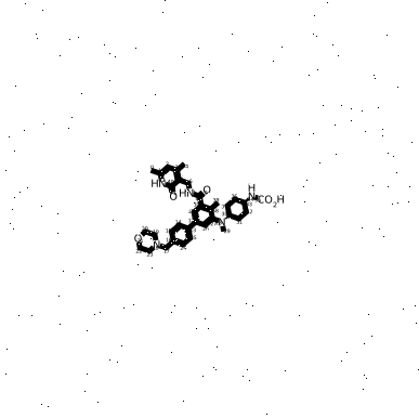 Cc1cc(C)c(CNC(=O)c2cc(-c3ccc(CN4CCOCC4)cc3)cc(N(C)[C@H]3CC[C@H](NC(=O)O)CC3)c2C)c(=O)[nH]1